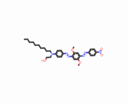 CCCCCCCCCCN(CCO)c1ccc(/N=N/c2cc(OC)c(/N=N/c3ccc([N+](=O)[O-])cc3)cc2OC)cc1